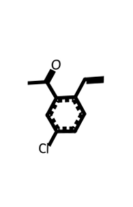 C=Cc1ccc(Cl)cc1C(C)=O